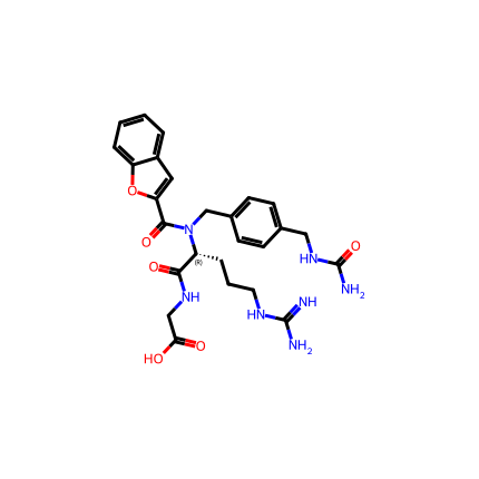 N=C(N)NCCC[C@H](C(=O)NCC(=O)O)N(Cc1ccc(CNC(N)=O)cc1)C(=O)c1cc2ccccc2o1